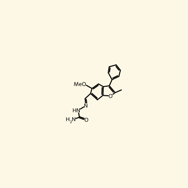 COc1cc2c(-c3ccccc3)c(C)oc2cc1/C=N/NC(N)=O